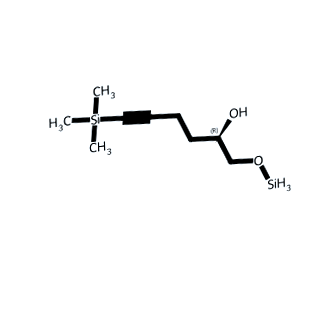 C[Si](C)(C)C#CCC[C@@H](O)CO[SiH3]